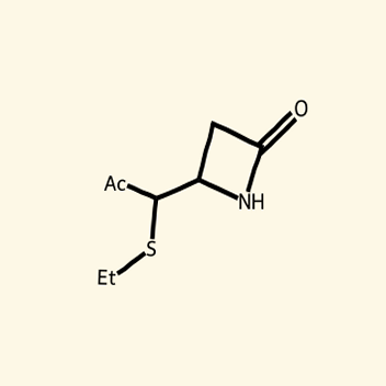 CCSC(C(C)=O)C1CC(=O)N1